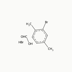 Br.Cc1ccc(C)c(Br)c1.O=CO